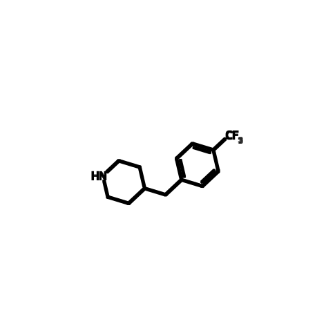 FC(F)(F)c1ccc(CC2CCNCC2)cc1